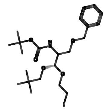 CC(C)(C)CO[C@@H](OCCI)C(COCc1ccccc1)NC(=O)OC(C)(C)C